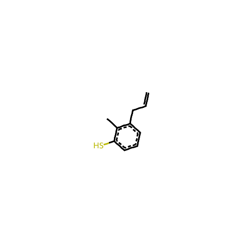 C=CCc1cccc(S)c1C